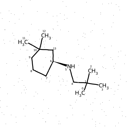 CC(C)(C)CN[C@H]1CCCC(C)(C)C1